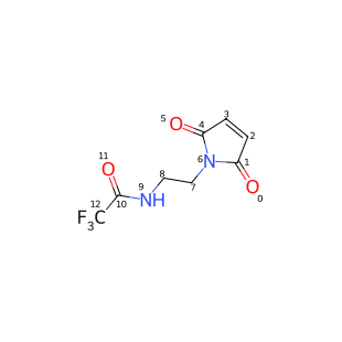 O=C1C=CC(=O)N1CCNC(=O)C(F)(F)F